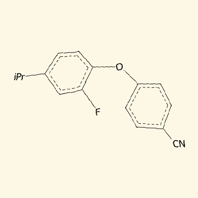 CC(C)c1ccc(Oc2ccc(C#N)cc2)c(F)c1